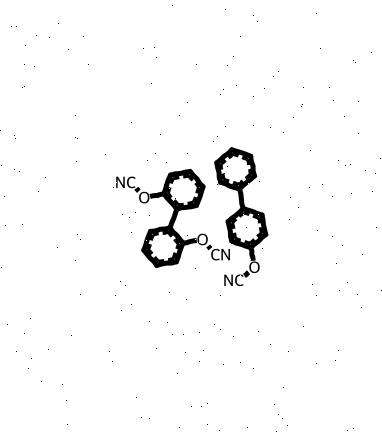 N#COc1ccc(-c2ccccc2)cc1.N#COc1ccccc1-c1ccccc1OC#N